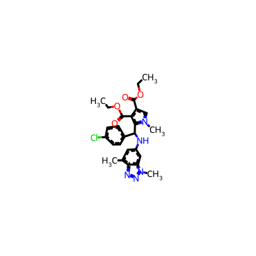 CCOC(=O)c1cn(C)c(C(Nc2cc(C)c3nnn(C)c3c2)c2ccc(Cl)cc2)c1C(=O)OCC